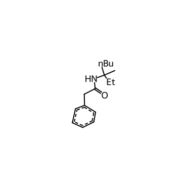 CCCCC(C)(CC)NC(=O)Cc1ccccc1